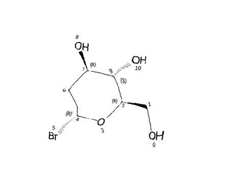 OC[C@H]1O[C@H](Br)C[C@@H](O)[C@@H]1O